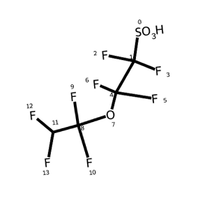 O=S(=O)(O)C(F)(F)C(F)(F)OC(F)(F)C(F)F